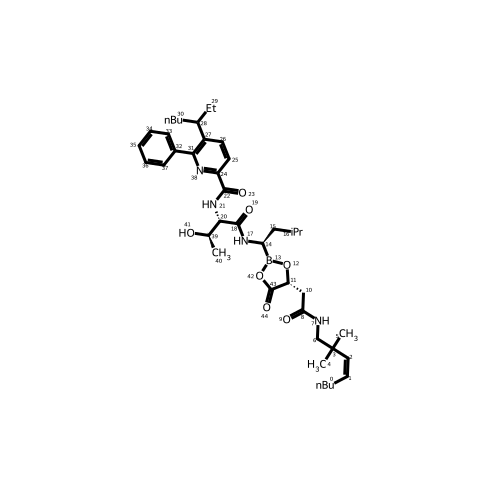 CCCC/C=C\C(C)(C)CNC(=O)C[C@H]1OB([C@H](CC(C)C)NC(=O)[C@@H](NC(=O)c2ccc(C(CC)CCCC)c(-c3ccccc3)n2)[C@@H](C)O)OC1=O